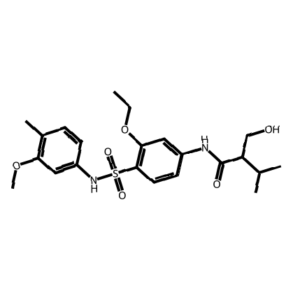 CCOc1cc(NC(=O)C(CO)C(C)C)ccc1S(=O)(=O)Nc1ccc(C)c(OC)c1